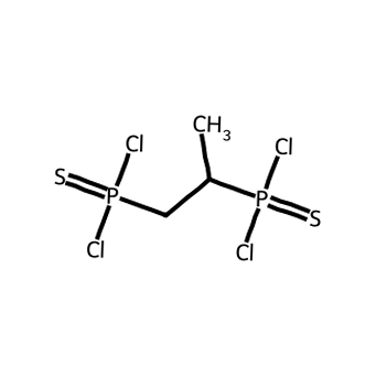 CC(CP(=S)(Cl)Cl)P(=S)(Cl)Cl